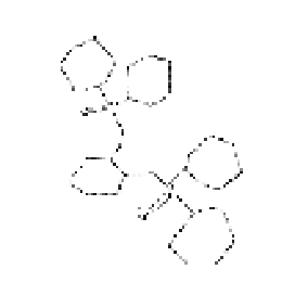 O=P(CC1CCCCC1CP(=O)(C1CCCCC1)C1CCCCC1)(C1CCCCC1)C1CCCCC1